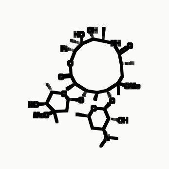 CC[C@H]1OC(=O)[C@H](C)[C@@H](O[C@H]2C[C@@](C)(OC)[C@@H](O)[C@H](C)O2)[C@H](C)[C@@H](O[C@@H]2O[C@H](C)C[C@H](N(C)C)[C@H]2O)[C@](C)(OC)C[C@@H](C)C(=O)N[C@H](C)[C@@H](O)[C@]1(C)O